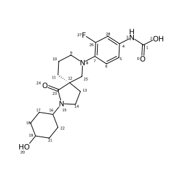 O=C(O)Nc1ccc(N2CCC[C@@]3(CCN(C4CCC(O)CC4)C3=O)C2)c(F)c1